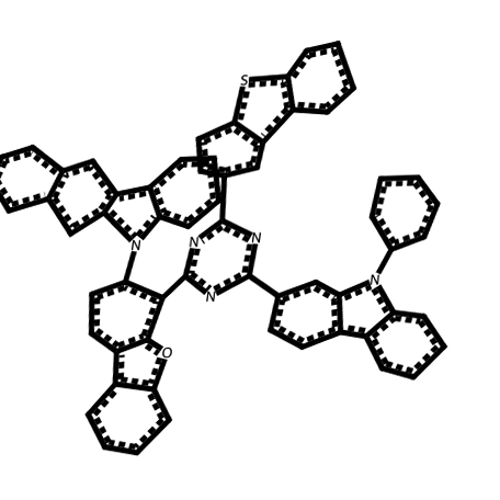 c1ccc(-n2c3ccccc3c3ccc(-c4nc(-c5ccc6sc7ccccc7c6c5)nc(-c5c(-n6c7ccccc7c7cc8ccccc8cc76)ccc6c5oc5ccccc56)n4)cc32)cc1